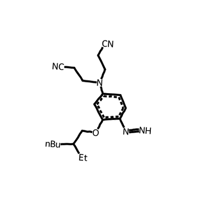 CCCCC(CC)COc1cc(N(CCC#N)CCC#N)ccc1N=N